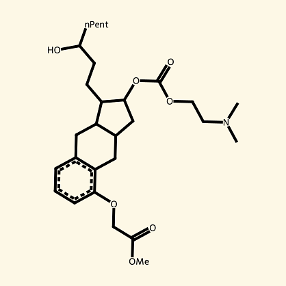 CCCCCC(O)CCC1C(OC(=O)OCCN(C)C)CC2Cc3c(cccc3OCC(=O)OC)CC21